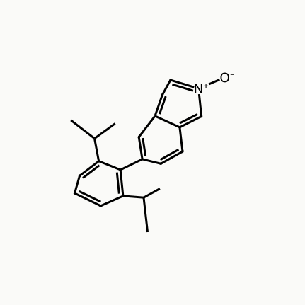 CC(C)c1cccc(C(C)C)c1-c1ccc2c[n+]([O-])ccc2c1